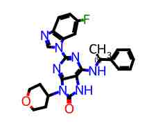 C[C@H](Nc1nc(-n2cnc3ccc(F)cc32)nc2c1[nH]c(=O)n2C1CCOCC1)c1ccccc1